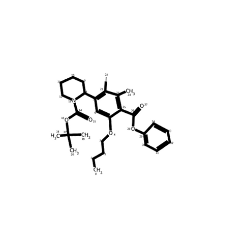 CCCCOc1cc(C2CCCCN2C(=O)OC(C)(C)C)c(I)c(C)c1C(=O)Oc1ccccc1